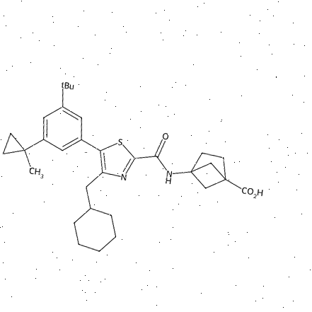 CC(C)(C)c1cc(-c2sc(C(=O)NC34CCC(C(=O)O)(C3)C4)nc2CC2CCCCC2)cc(C2(C)CC2)c1